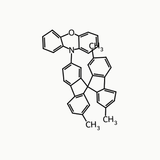 Cc1ccc2c(c1)C1(c3cc(C)ccc3-2)c2cc(C)ccc2-c2ccc(N3c4ccccc4Oc4ccccc43)cc21